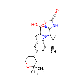 C#C[C@H]1C[C@]1(C1=NOC(=C=O)N1)n1c(C(=O)O)cc2cc([C@H]3CCOC(C)(C)C3)ccc21